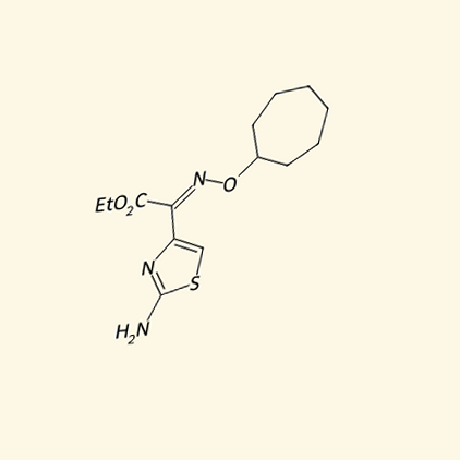 CCOC(=O)C(=NOC1CCCCCC1)c1csc(N)n1